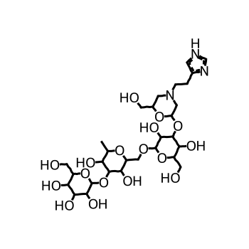 CC1OC(COC2OC(CO)C(O)C(OC3CN(CCc4c[nH]cn4)CC(CO)O3)C2O)C(O)C(OC2OC(CO)C(O)C(O)C2O)C1O